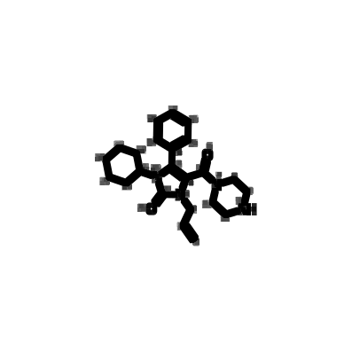 C=CCn1c(C(=O)N2CCNCC2)c(-c2ccccc2)n(C2CCCCC2)c1=O